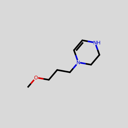 COCCCN1C=CNCC1